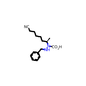 C[C@H](CCCCCC#N)N(NCc1ccccc1)C(=O)O